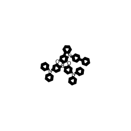 c1ccc(-c2ccc(-n3c4ccccc4c4cc5c6c(c43)Oc3cc(N(c4ccccc4)c4ccccc4)ccc3B6c3ccc(N(c4ccccc4)c4ccccc4)cc3O5)cc2)cc1